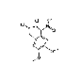 COc1nc2cc(Cl)c(Cl)c([N+](=O)[O-])c2nc1OC